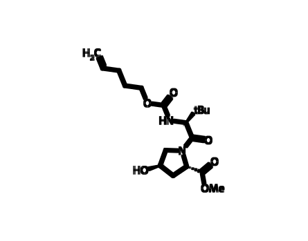 C=CCCCOC(=O)N[C@H](C(=O)N1C[C@H](O)C[C@H]1C(=O)OC)C(C)(C)C